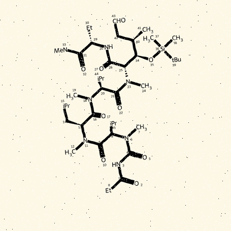 CCC(=O)NC(=O)N(C)C(C(=O)N(C)[C@@H](CC(C)C)C(=O)N(C)[C@H](C(=O)N(C)[C@H](C(=O)N[C@@H](CC)C(=O)NC)[C@H](O[Si](C)(C)C(C)(C)C)[C@H](C)CC=O)C(C)C)C(C)C